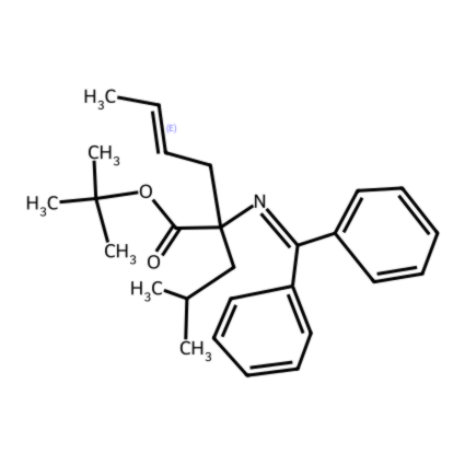 C/C=C/CC(CC(C)C)(N=C(c1ccccc1)c1ccccc1)C(=O)OC(C)(C)C